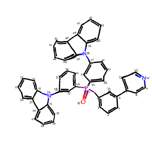 O=P(c1cccc(-c2ccncc2)c1)(c1cccc(-n2c3ccccc3c3ccccc32)c1)c1cccc(-n2c3ccccc3c3ccccc32)c1